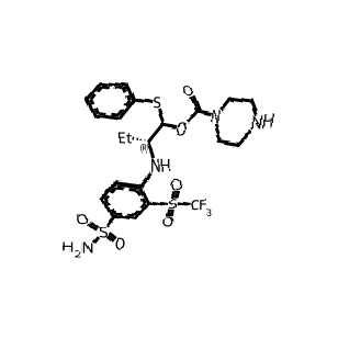 CC[C@@H](Nc1ccc(S(N)(=O)=O)cc1S(=O)(=O)C(F)(F)F)C(OC(=O)N1CCNCC1)Sc1ccccc1